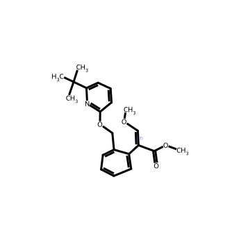 CO/C=C(/C(=O)OC)c1ccccc1COc1cccc(C(C)(C)C)n1